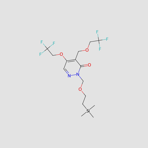 C[Si](C)(C)CCOCn1ncc(OCC(F)(F)F)c(COCC(F)(F)F)c1=O